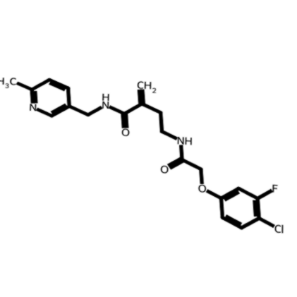 C=C(CCNC(=O)COc1ccc(Cl)c(F)c1)C(=O)NCc1ccc(C)nc1